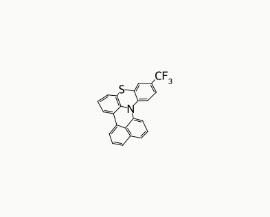 FC(F)(F)c1ccc2c(c1)sc1cccc3c1-n2c1cccc2cccc3c21